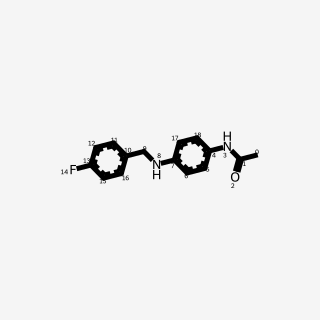 CC(=O)Nc1ccc(NCc2ccc(F)cc2)cc1